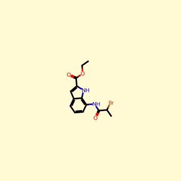 CCOC(=O)c1cc2cccc(NC(=O)C(C)Br)c2[nH]1